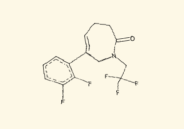 O=C1CCC=C(c2cccc(F)c2F)CN1CC(F)(F)F